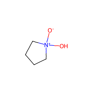 [O-][N+]1(O)CCCC1